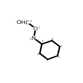 O=[C]O[N]C1CCCCC1